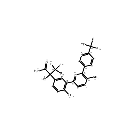 Cc1ccc(C(O)(C(N)=O)C(F)(F)F)cc1-c1cnc(N)c(-c2ccc(C(F)(F)F)nc2)n1